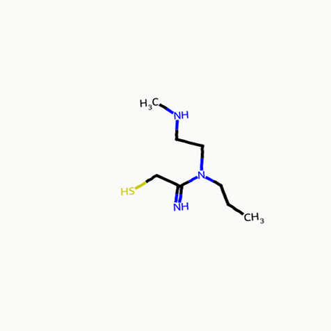 CCCN(CCNC)C(=N)CS